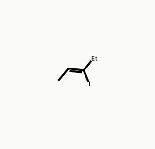 CC=C(I)CC